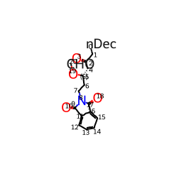 CCCCCCCCCCCC(=O)C[C@H](CCN1C(=O)c2ccccc2C1=O)OC=O